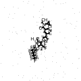 CCN(C(=O)c1cc(-c2cnn(-c3c(C(F)(F)F)c(OS(=O)(=O)C(F)(F)C(F)(F)C(F)(F)C(F)(F)F)nn3C)c2)cnc1Cl)C1CC1